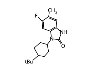 Cc1cc2[nH]c(=O)n(C3CCC(C(C)(C)C)CC3)c2cc1F